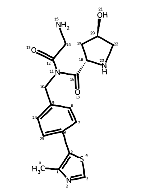 Cc1ncsc1-c1ccc(CN(C(=O)CN)C(=O)[C@@H]2C[C@@H](O)CN2)cc1